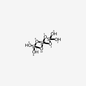 O[Si]1(O)O[Si]2(O1)O[Si](O)(O)O2